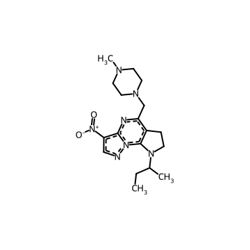 CCC(C)N1CCc2c(CN3CCN(C)CC3)nc3c([N+](=O)[O-])cnn3c21